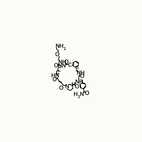 NCCOCCNC(=O)[C@@H]1CCNC(=O)/C=C/C(=O)N2CCC[C@H](C2)C(=O)N[C@@H](Cc2ccc(C(N)=O)cc2)C(=O)NCc2ccccc2CC(=O)N1